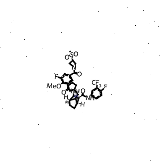 COc1c(F)cc(C(=O)N2CC(S(C)(=O)=O)C2)cc1C(=O)N[C@H]1[C@@H](C(=O)Nc2ccc(F)c(C(F)(F)F)c2)[C@H]2CC[C@@H]1/C2=C\C1CCCC1